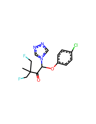 CC(CF)(CF)C(=O)C(Oc1ccc(Cl)cc1)n1cnnc1